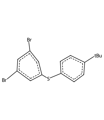 CC(C)(C)c1ccc(Sc2cc(Br)cc(Br)c2)cc1